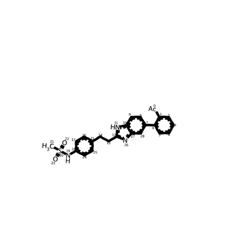 CC(=O)c1ccccc1-c1ccc2[nH]c(CCc3ccc(NS(C)(=O)=O)cc3)nc2c1